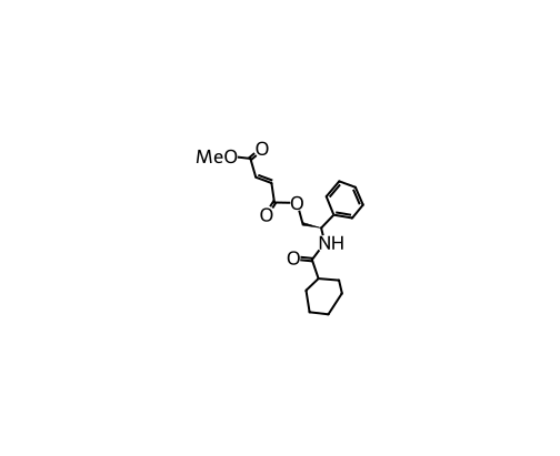 COC(=O)/C=C/C(=O)OC[C@H](NC(=O)C1CCCCC1)c1ccccc1